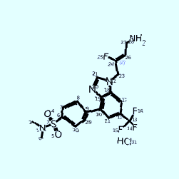 CN(C)S(=O)(=O)c1ccc(-c2cc(C(F)(F)F)cc3c2ncn3C/C(F)=C/CN)cc1.Cl